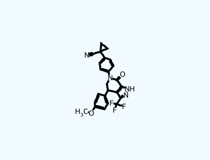 COc1ccc(C2CN(c3ccc(C4(C#N)CC4)cc3)C(=O)c3[nH]nc(C(F)(F)F)c32)cc1